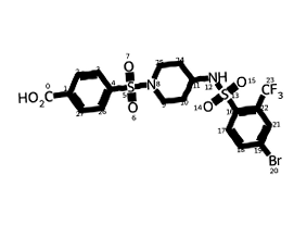 O=C(O)c1ccc(S(=O)(=O)N2CCC(NS(=O)(=O)c3ccc(Br)cc3C(F)(F)F)CC2)cc1